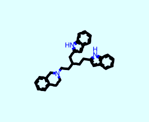 c1ccc2c(c1)CCN(CCC(CCc1cc3ccccc3[nH]1)Cc1cc3ccccc3[nH]1)C2